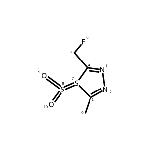 CC1=NN=C(CF)S1=S(=O)=O